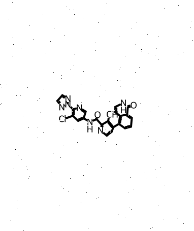 Cc1c(-c2cccc3c(=O)[nH]ccc23)ccnc1C(=O)Nc1cnc(-n2nccn2)c(Cl)c1